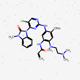 C=CC(=O)Nc1cc(Nc2ncc(Cl)c(-n3c(=O)n(C)c4ccccc43)n2)c(OC)cc1N(C)CCN(C)C